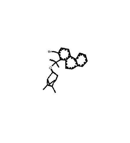 CC1C2CC(OC(C)(C)c3c(Br)ccc4c3ccc3ccccc34)C(C2)C1C